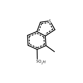 Cc1c(S(=O)(=O)O)ccc2cscc12